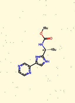 CC(C)(C)OC(=O)N[C@@H](c1nc(-c2cnccn2)c[nH]1)C(C)(C)C